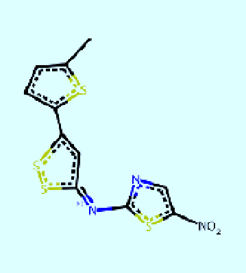 Cc1ccc(-c2c/c(=N\c3ncc([N+](=O)[O-])s3)ss2)s1